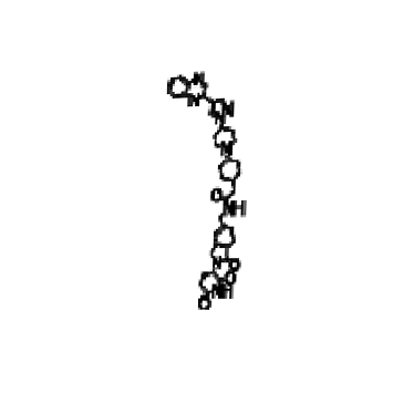 O=C(CC1CCC(N2CCC(n3cc(-c4cnc5ccccc5n4)cn3)CC2)CC1)NCc1ccc2c(c1)CN(C1CCC(=O)NC1=O)C2=O